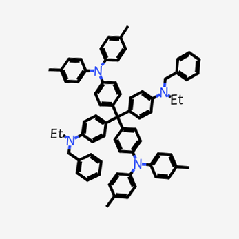 CCN(Cc1ccccc1)c1ccc(C(c2ccc(N(CC)Cc3ccccc3)cc2)(c2ccc(N(c3ccc(C)cc3)c3ccc(C)cc3)cc2)c2ccc(N(c3ccc(C)cc3)c3ccc(C)cc3)cc2)cc1